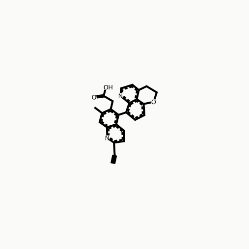 C#Cc1ccc2c(-c3ccc4c5c(ccnc35)CCO4)c(CC(=O)O)c(C)cc2n1